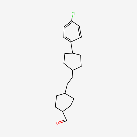 O=CC1CCC(CCC2CCC(c3ccc(Cl)cc3)CC2)CC1